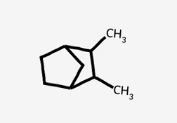 C[C]1C2CCC(C2)C1C